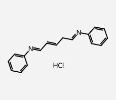 C(C/C=C/C=N/c1ccccc1)=Nc1ccccc1.Cl